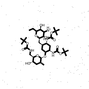 CCC1O[C@H](C[C@@H]2CC(O[C@H]3O[C@H](CNC(=O)OC(C)(C)C)[C@@H](O)CC3C)[C@@H](NC(=O)OC(C)(C)C)C[C@H]2NC(=O)OC(C)(C)C)C(O)C(N)[C@@H]1O